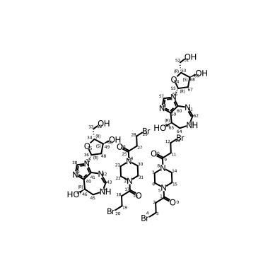 O=C(CCBr)N1CCN(C(=O)CCBr)CC1.O=C(CCBr)N1CCN(C(=O)CCBr)CC1.OC[C@H]1O[C@@H](n2cnc3c2N=CNC[C@H]3O)C[C@@H]1O.OC[C@H]1O[C@@H](n2cnc3c2N=CNC[C@H]3O)C[C@@H]1O